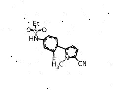 CCS(=O)(=O)Nc1ccc(-c2ccc(C#N)n2C)c(F)c1